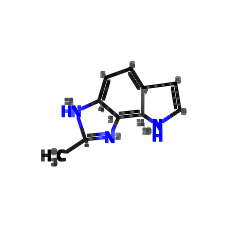 Cc1nc2c(ccc3cc[nH]c32)[nH]1